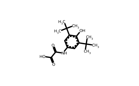 CC(C)(C)c1cc(NC(=O)C(=O)O)cc(C(C)(C)C)c1O